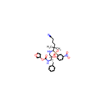 CC(C)(CCCC#N)C(NC[C@@H](O)[C@H](Cc1ccccc1)NC(=O)Oc1ccoc1)S(=O)(=O)c1cccc([N+](=O)[O-])c1